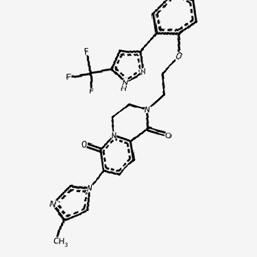 Cc1cn(-c2ccc3n(c2=O)CCN(CCOc2ccccc2-c2cc(C(F)(F)F)[nH]n2)C3=O)cn1